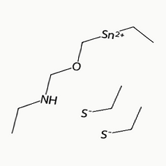 CCNCO[CH2][Sn+2][CH2]C.CC[S-].CC[S-]